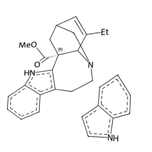 CCC1=CC2CN3CCc4c([nH]c5ccccc45)[C@@](C(=O)OC)(C2)C13.c1ccc2[nH]ccc2c1